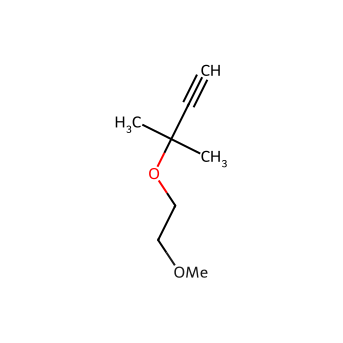 C#CC(C)(C)OCCOC